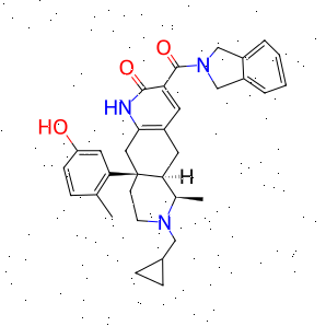 Cc1ccc(O)cc1[C@]12CCN(CC3CC3)[C@H](C)[C@@H]1Cc1cc(C(=O)N3Cc4ccccc4C3)c(=O)[nH]c1C2